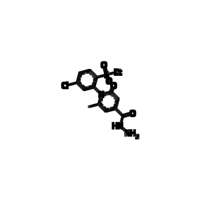 CCS(=O)(=O)c1ccc(Cl)cc1-n1c(C)cc(C(=O)NN)cc1=O